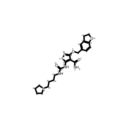 NC(=O)c1c(OCc2ccc3c(c2)CCO3)nsc1NC(=O)NCCCCN1CCCC1